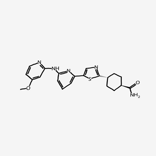 COc1ccnc(Nc2cccc(-c3cnc([C@H]4CC[C@H](C(N)=O)CC4)s3)n2)c1